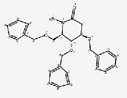 CCCN1C(=O)C[C@@H](OCc2ccccc2)[C@H](OCc2ccccc2)[C@H]1COCc1ccccc1